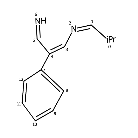 CC(C)/C=N\C=C(/C=N)c1ccccc1